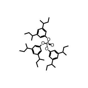 CCC(C)c1cc(OP(=O)(Oc2cc(C(C)CC)cc(C(C)CC)c2)Oc2cc(C(C)CC)cc(C(C)CC)c2)cc(C(C)CC)c1